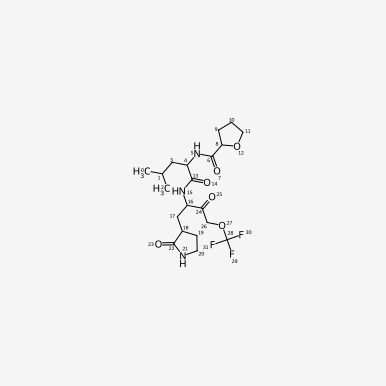 CC(C)CC(NC(=O)C1CCCO1)C(=O)NC(CC1CCNC1=O)C(=O)COC(F)(F)F